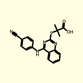 CC(C)(Sc1nc(Nc2ccc(C#N)cc2)c2ccccc2n1)C(=O)O